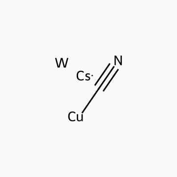 N#[C][Cu].[Cs].[W]